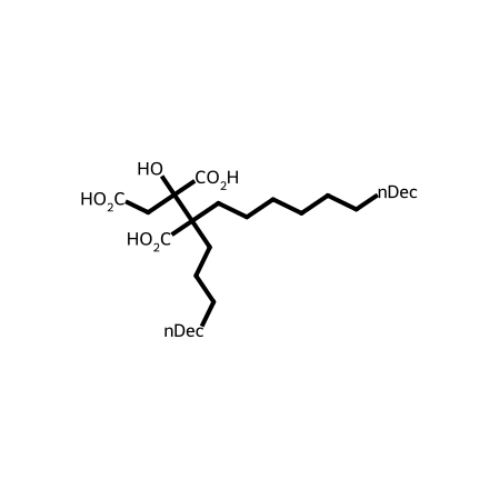 CCCCCCCCCCCCCCCCC(CCCCCCCCCCCCC)(C(=O)O)C(O)(CC(=O)O)C(=O)O